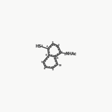 CC(=O)Nc1ccc(S)c2ccccc12